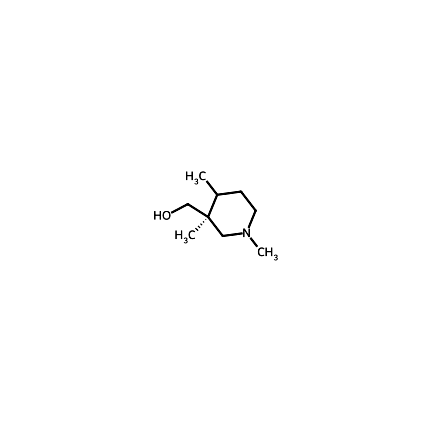 CC1CCN(C)C[C@@]1(C)CO